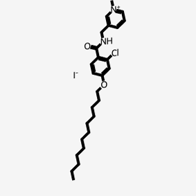 CCCCCCCCCCCCOc1ccc(C(=O)NCc2ccc[n+](C)c2)c(Cl)c1.[I-]